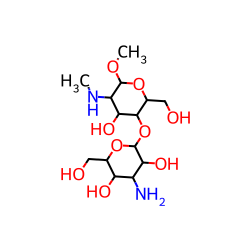 CNC1C(OC)OC(CO)C(OC2OC(CO)C(O)C(N)C2O)C1O